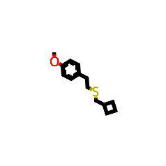 COc1ccc(CCSCC2CCC2)cc1